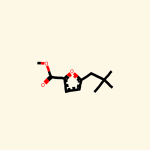 COC(=O)c1ccc(CC(C)(C)C)o1